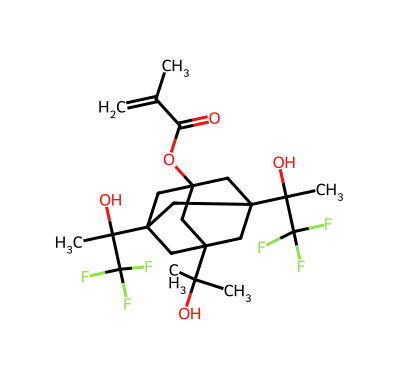 C=C(C)C(=O)OC12CC3(C(C)(C)O)CC(C(C)(O)C(F)(F)F)(C1)CC(C(C)(O)C(F)(F)F)(C2)C3